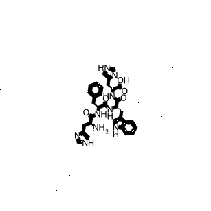 N[C@@H](Cc1c[nH]cn1)C(=O)N[C@@H](Cc1ccccc1)C(=O)N[C@@H](Cc1c[nH]c2ccccc12)C(=O)N[C@@H](Cc1c[nH]cn1)C(=O)O